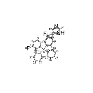 Fc1cccc(C2(c3ccc(-c4cnc[nH]4)c(F)c3)c3ccccc3-c3ccccc32)c1